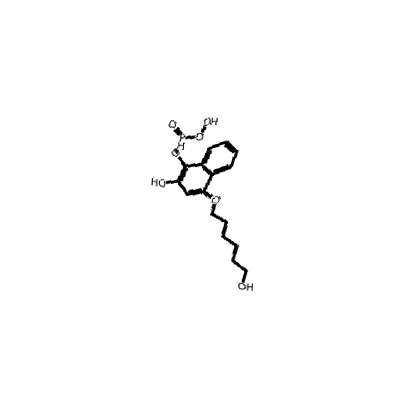 O=[PH](OO)Oc1c(O)cc(OCCCCCCO)c2ccccc12